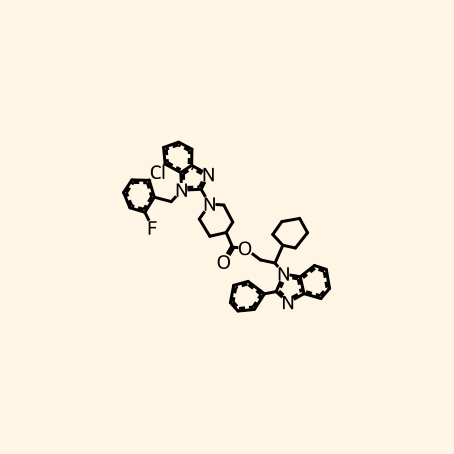 O=C(OCC(C1CCCCC1)n1c(-c2ccccc2)nc2ccccc21)C1CCN(c2nc3ccccc3n2Cc2c(F)cccc2Cl)CC1